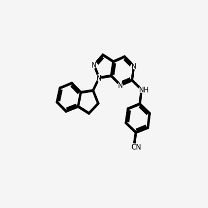 N#Cc1ccc(Nc2ncc3cnn(C4CCc5ccccc54)c3n2)cc1